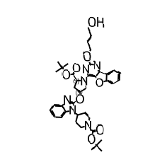 CC(C)(C)OC(=O)[C@@H]1C[C@H](Oc2nc3ccccc3n2C2CCN(C(=O)OC(C)(C)C)CC2)CN1c1nc(OCCCCO)nc2c1oc1ccccc12